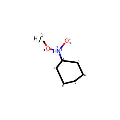 CO[NH+]([O-])C1CCCCC1